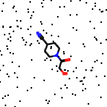 N#CC1CCN(C(=O)CO)CC1